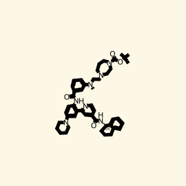 CN(CCN1CCCN(C(=O)OC(C)(C)C)CC1)c1cccc(C(=O)Nc2ccc(N3CCCCC3)cc2-c2cc(C(=O)N[C@H]3CCCc4ccccc43)ccn2)c1